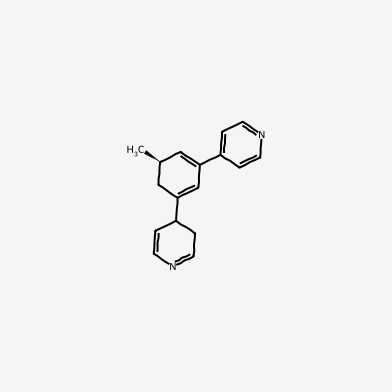 C[C@H]1C=C(c2ccncc2)C=C(C2C=CN=CC2)C1